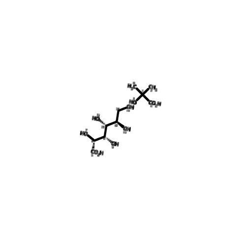 CC(C)(O)C(=O)O.O=C(O)[C@H](O)[C@@H](O)[C@H](O)[C@H](O)CO